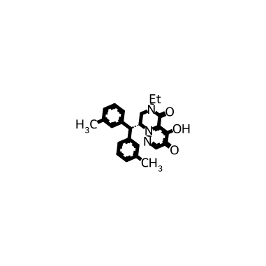 CCN1C[C@@H](C(c2cccc(C)c2)c2cccc(C)c2)n2ncc(=O)c(O)c2C1=O